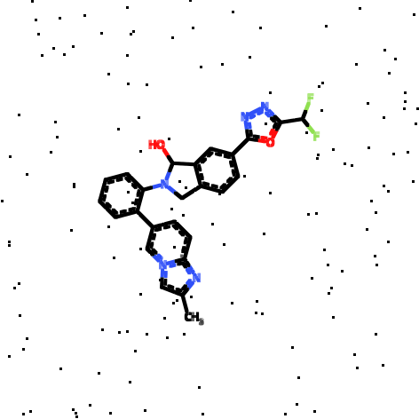 Cc1cn2cc(-c3ccccc3N3Cc4ccc(-c5nnc(C(F)F)o5)cc4C3O)ccc2n1